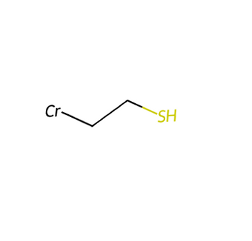 SC[CH2][Cr]